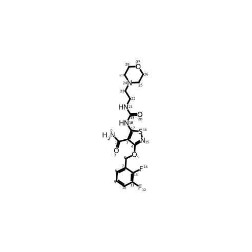 NC(=O)c1c(OCc2cccc(F)c2F)nsc1NC(=O)NCCN1CCOCC1